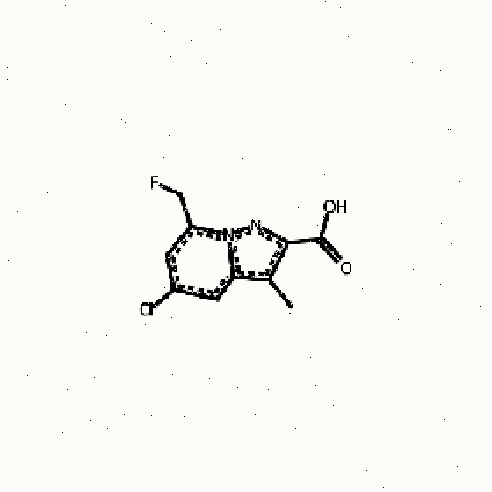 Cc1c(C(=O)O)nn2c(CF)cc(Cl)cc12